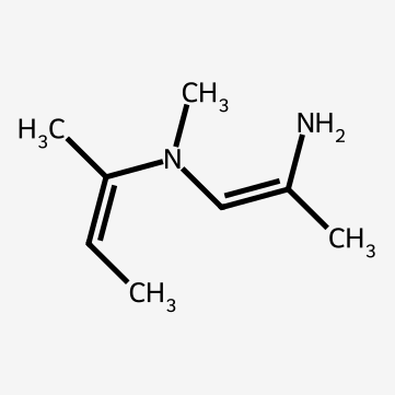 C/C=C(/C)N(C)/C=C(/C)N